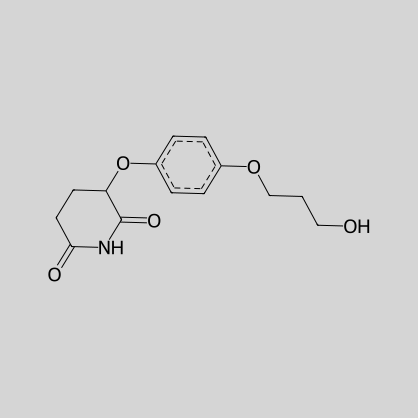 O=C1CCC(Oc2ccc(OCCCO)cc2)C(=O)N1